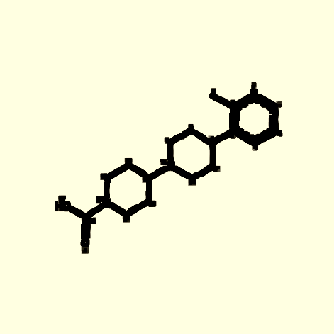 Cc1ncccc1C1CCN(C2CCN(C(=O)O)CC2)CC1